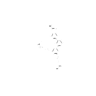 C=C(C)C(=O)OCCOc1cc(OCCOC(O)C(=C)C)cc(-c2cccc(-c3ccc(OC(=O)C(=C)C)cc3)c2)c1